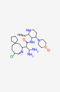 CCCCCCC1NCCC(N2CC[S+]([O-])CC2)C1NC(=O)C(C(N)N)C1CC2(CCCC2)CCC(Cl)/C=N\1